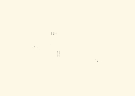 CSC(=N)Nc1cccc([N+](=O)[O-])c1